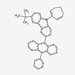 CC(C)(C)c1ccc2c(c1)c1cc(-c3c4ccccc4c(-c4ccccc4)c4ccccc34)ccc1n2C1=CCCCC=C1